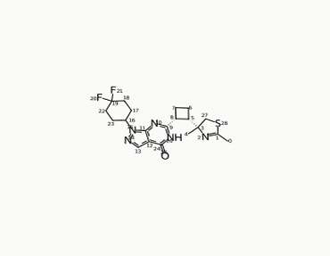 CC1=NC(C)([C@H]2CC[C@H]2c2nc3c(cnn3C3CCC(F)(F)CC3)c(=O)[nH]2)CS1